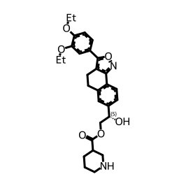 CCOc1ccc(-c2onc3c2CCc2cc([C@H](O)COC(=O)C4CCCNC4)ccc2-3)cc1OCC